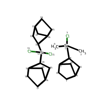 C[Si](C)(Cl)C1CC2CCC1C2.Cl[Si](Cl)(C1CC2CCC1C2)C1CC2CCC1C2